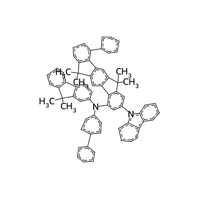 CC1(C)c2ccccc2-c2ccc(N(c3ccc(-c4ccccc4)cc3)c3cc(-n4c5ccccc5c5ccccc54)cc4c3-c3cc5c(cc3C4(C)C)-c3c(-c4ccccc4)cccc3C5(C)C)cc21